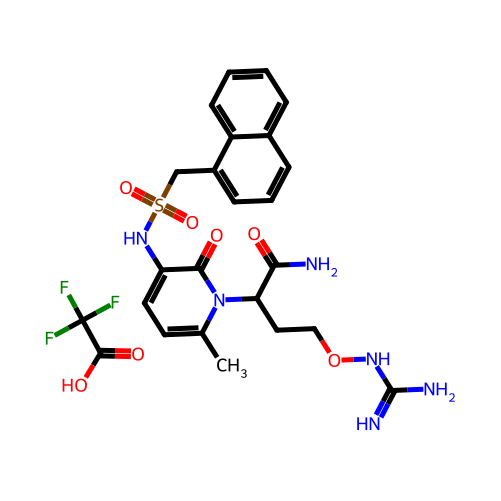 Cc1ccc(NS(=O)(=O)Cc2cccc3ccccc23)c(=O)n1C(CCONC(=N)N)C(N)=O.O=C(O)C(F)(F)F